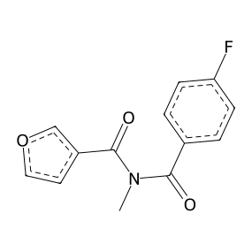 CN(C(=O)c1ccc(F)cc1)C(=O)c1ccoc1